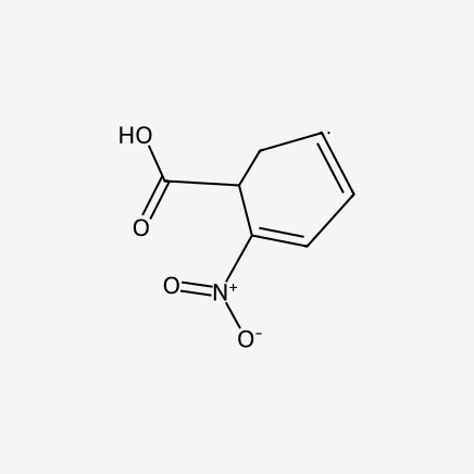 O=C(O)C1C[C]=CC=C1[N+](=O)[O-]